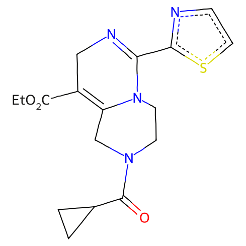 CCOC(=O)C1=C2CN(C(=O)C3CC3)CCN2C(c2nccs2)=NC1